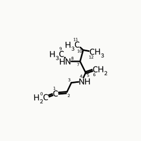 C=C=CCNC(=C)C(NC)C(C)C